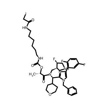 C[C@H](OC(=O)NCCCCCCNC(=O)CI)C(=O)N(C[C@@H]1CNC[C@@H]1F)[C@@H](c1nc(-c2cc(F)ccc2F)cn1Cc1ccccc1)C1CCOCC1